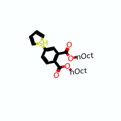 CCCCCCCCOC(=O)c1ccc([SH]2C=CC=C2)cc1C(=O)OCCCCCCCC